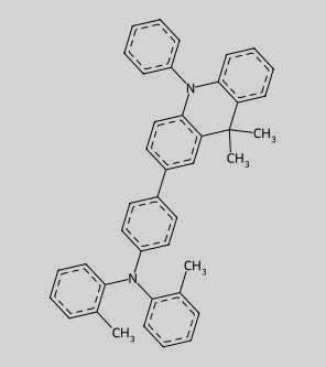 Cc1ccccc1N(c1ccc(-c2ccc3c(c2)C(C)(C)c2ccccc2N3c2ccccc2)cc1)c1ccccc1C